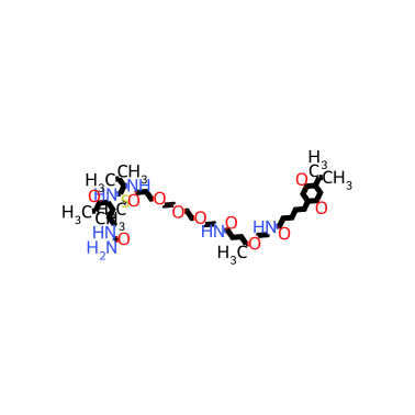 C=S=C(NC(CCCNC(N)=O)C(=O)C(C)C)C(NC(=O)CCOCCOCCOCCNC(=O)CCC(C)OCCNC(=O)CCCCC1CC(=O)C(C(C)C)CC1=O)C(C)C